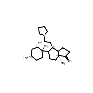 C=C1CCC2[C@H](CCN3CCCC3)C([C@@]3(C)CC[C@H](O)C[C@@H]3O)CC[C@]12C